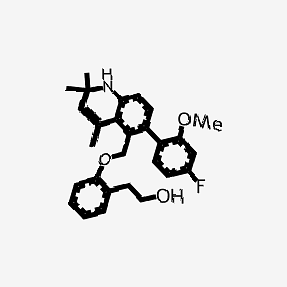 COc1cc(F)ccc1-c1ccc2c(c1COc1ccccc1CCO)C(C)=CC(C)(C)N2